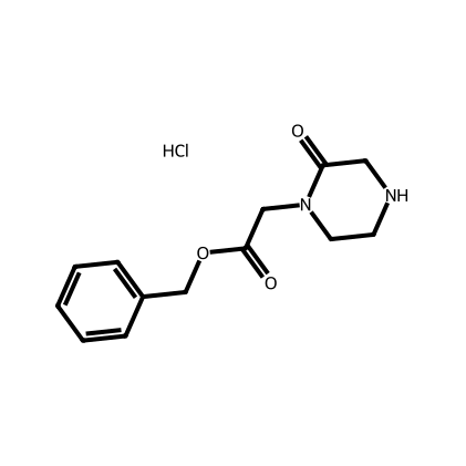 Cl.O=C(CN1CCNCC1=O)OCc1ccccc1